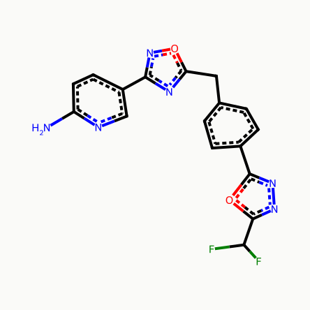 Nc1ccc(-c2noc(Cc3ccc(-c4nnc(C(F)F)o4)cc3)n2)cn1